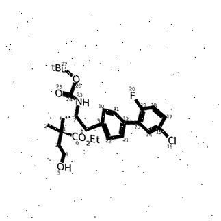 CCOC(=O)[C@](C)(CCO)C[C@@H](Cc1ccc(-c2cc(Cl)ccc2F)cc1)NC(=O)OC(C)(C)C